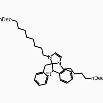 CCCCCCCCCCCCCCCCCCN1C=CN(CCCCCCCCCCCCCCC)C1(Cc1ccccc1)C(CC)c1ccccc1